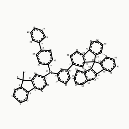 CC1(C)c2ccccc2-c2ccc(N(c3ccc(-c4ccccc4)cc3)c3cccc(-c4ccc5c(c4)C4(c6ccccc6-5)c5ccccc5-c5sc6ccccc6c54)c3)cc21